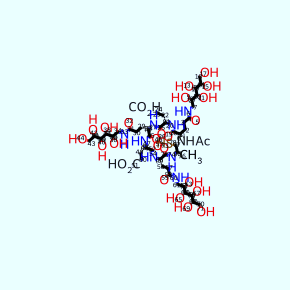 CC(=O)N[C@@H](CCC(=O)NC[C@H](O)[C@@H](O)[C@H](O)[C@H](O)CO)C(=O)N[C@@H](CCC(=O)O)C(=O)N[C@@H](CCC(=O)NC[C@H](O)[C@@H](O)[C@H](O)[C@H](O)CO)C(=O)N[C@@H](CCC(=O)O)C(=O)N[C@@H](CCC(=O)NC[C@H](O)[C@@H](O)[C@H](O)[C@H](O)CO)C(=O)N[C@H](C)CS